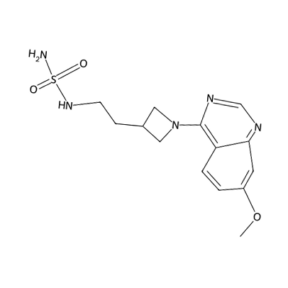 COc1ccc2c(N3CC(CCNS(N)(=O)=O)C3)ncnc2c1